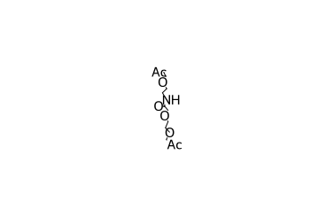 CC(=O)COCCNC(=O)COCCOCC(C)=O